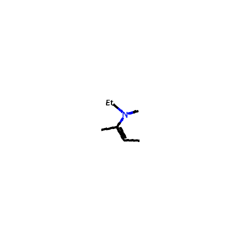 C/C=C(/C)N(C)CC